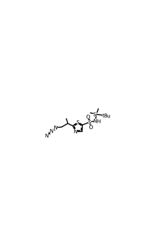 CC(CN=[N+]=[N-])c1ncc(S(=O)(=O)N[Si](C)(C)C(C)(C)C)s1